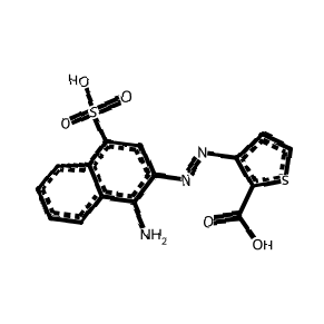 Nc1c(N=Nc2ccsc2C(=O)O)cc(S(=O)(=O)O)c2ccccc12